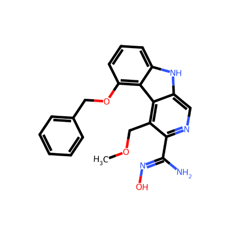 COCc1c(C(N)=NO)ncc2[nH]c3cccc(OCc4ccccc4)c3c12